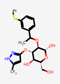 CC(C)Sc1cccc(C(C)O[C@@H]2[C@@H](Oc3cc(C(F)(F)F)[nH]n3)[C@H](O)[C@@H](CO)O[C@H]2O)c1